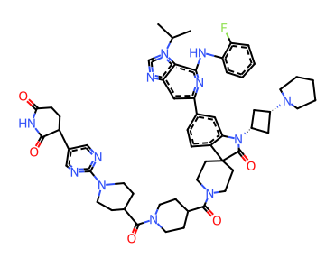 CC(C)n1cnc2cc(-c3ccc4c(c3)N([C@H]3C[C@@H](N5CCCCC5)C3)C(=O)C43CCN(C(=O)C4CCN(C(=O)C5CCN(c6ncc(C7CCC(=O)NC7=O)cn6)CC5)CC4)CC3)nc(Nc3ccccc3F)c21